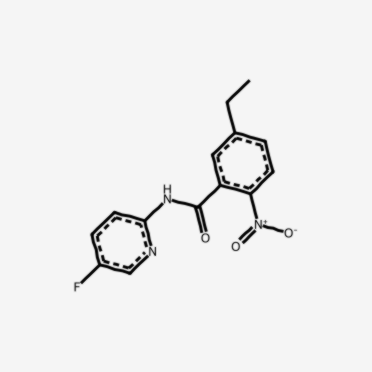 CCc1ccc([N+](=O)[O-])c(C(=O)Nc2ccc(F)cn2)c1